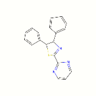 c1ccc(C2N=C(c3ncccn3)SC2c2ccccc2)cc1